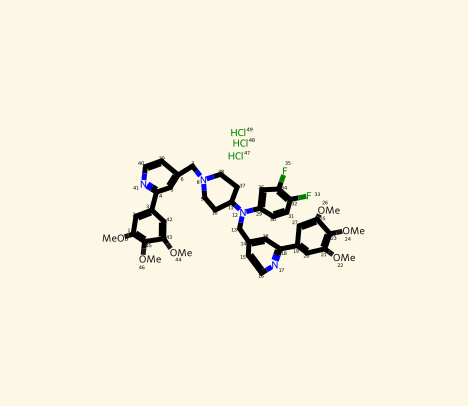 COc1cc(-c2cc(CN3CCC(N(Cc4ccnc(-c5cc(OC)c(OC)c(OC)c5)c4)c4ccc(F)c(F)c4)CC3)ccn2)cc(OC)c1OC.Cl.Cl.Cl